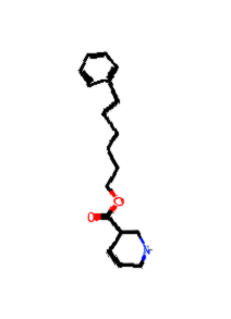 O=C(OCCCCCCc1ccccc1)C1CCC[N]C1